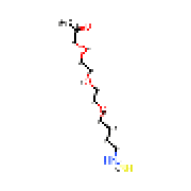 CC(C)C(=O)COCCOCCOCCCCNS